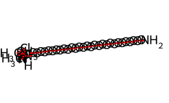 Cc1sc2c(c1C)C(c1ccc(Cl)cc1)=N[C@@H](CC(=O)Nc1ccc(OCCOCCOCCOCCOCCOCCOCCOCCOCCOCCOCCOCCOCCOCCOCCOCCOCCOCCOCCOCCOCCOCCOCCOCCOCCOCCOCCOCCOCCN)cc1)c1nnc(C)n1-2